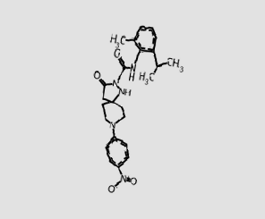 Cc1cccc(C(C)C)c1NC(=O)N1NC2(CCN(c3ccc([N+](=O)[O-])cc3)CC2)CC1=O